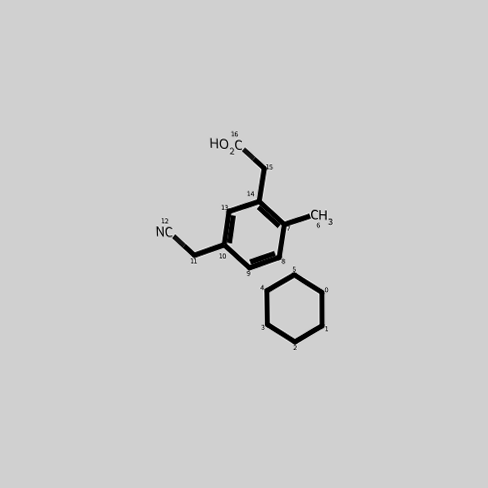 C1CCCCC1.Cc1ccc(CC#N)cc1CC(=O)O